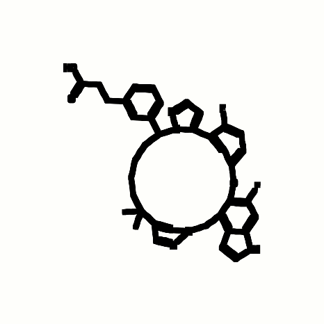 CC1(C)CCCCC(c2cccc(CCC(=O)O)c2)n2nccc2-c2cc(ccc2F)Oc2c(F)cc3[nH]ccc3c2Cn2cc1cn2